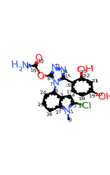 Cn1c(Cl)cc2c(-n3c(OC(N)=O)nnc3-c3ccc(O)cc3O)cccc21